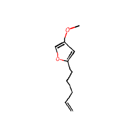 [CH]=CCCCc1cc(OC)co1